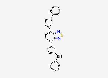 B(C1=CC=C(c2ccc(C3=CC=C(c4ccccc4)C3)c3nsnc23)C1)c1ccccc1